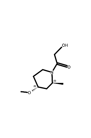 CO[C@@H]1CCN(C(=O)CO)[C@@H](C)C1